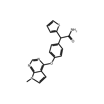 Cn1ccc2c(Oc3ccc(C(C(N)=O)c4cccs4)cc3)ncnc21